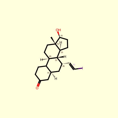 C[C@]12CC[C@@H]3C4CCC(=O)C[C@@H]4C[C@@H](/C=C/I)[C@H]3[C@@H]1CC[C@@H]2O